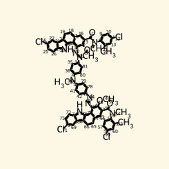 COc1c(C(=O)N(C)c2ccc(Cl)cc2C)cc2ccc3c4cc(Cl)ccc4[nH]c3c2c1N=Nc1ccc(N(C)c2ccc(N=Nc3c(OC)c(C(=O)N(C)c4ccc(Cl)cc4C)cc4ccc5c6cc(Cl)ccc6[nH]c5c34)cc2)cc1